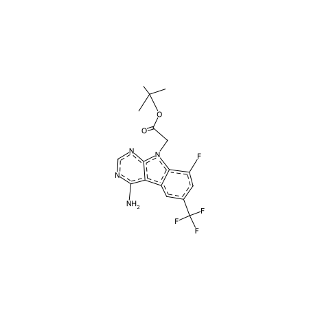 CC(C)(C)OC(=O)Cn1c2ncnc(N)c2c2cc(C(F)(F)F)cc(F)c21